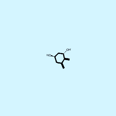 C=C1C[C@@H](O)C[C@H](O)C1=C